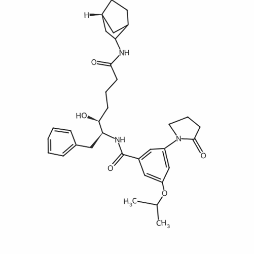 CC(C)Oc1cc(C(=O)N[C@@H](Cc2ccccc2)[C@@H](O)CCCC(=O)NC2C[C@@H]3CCC2C3)cc(N2CCCC2=O)c1